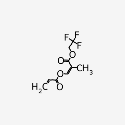 C=CC(=O)OC=C(C)C(=O)OCC(F)(F)F